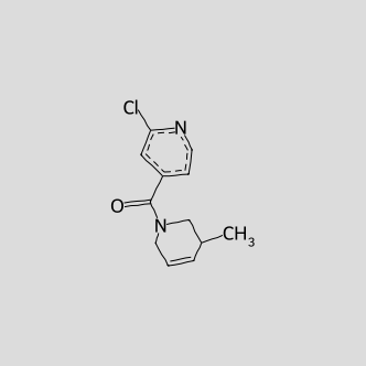 CC1C=CCN(C(=O)c2ccnc(Cl)c2)C1